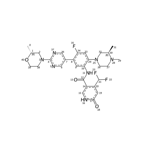 C[C@@H]1CN(c2ncc(-c3cc(NC(=O)c4c[nH]c(=O)cc4C(F)F)c(N4CCN(C)[C@H](C)C4)cc3F)cn2)CCO1